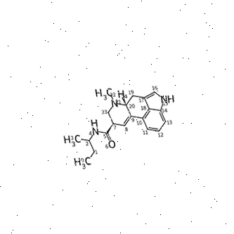 CCC(C)NC(=O)[C@@H]1C=C2c3cccc4[nH]cc(c34)C[C@H]2N(C)C1